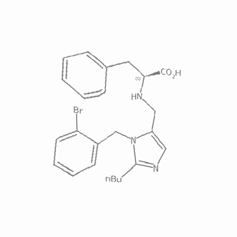 CCCCc1ncc(CN[C@@H](Cc2ccccc2)C(=O)O)n1Cc1ccccc1Br